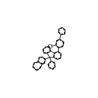 Clc1cc(-c2ccccc2)ccc1-c1cccc2c1-c1ccccc1C2(c1ccccc1)c1ccc2ccccc2c1